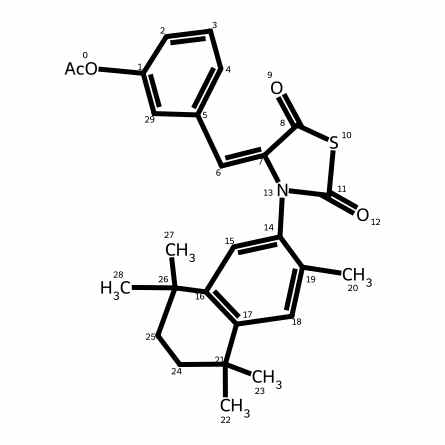 CC(=O)Oc1cccc(C=C2C(=O)SC(=O)N2c2cc3c(cc2C)C(C)(C)CCC3(C)C)c1